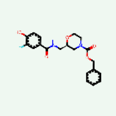 O=C(NC[C@@H]1CN(C(=O)OCc2ccccc2)CCO1)c1ccc(O)c(F)c1